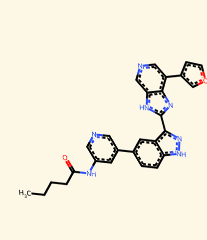 CCCCC(=O)Nc1cncc(-c2ccc3[nH]nc(-c4nc5c(-c6ccoc6)cncc5[nH]4)c3c2)c1